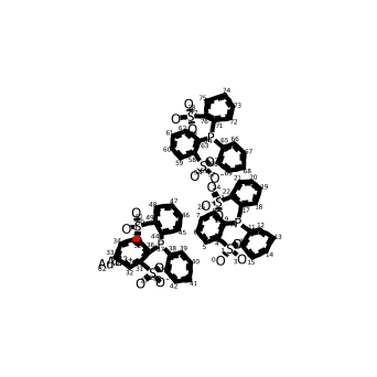 O=S(=O)([O-])c1ccccc1P(c1ccccc1)c1ccccc1S(=O)(=O)[O-].O=S(=O)([O-])c1ccccc1P(c1ccccc1)c1ccccc1S(=O)(=O)[O-].O=S(=O)([O-])c1ccccc1P(c1ccccc1)c1ccccc1S(=O)(=O)[O-].[Au+3].[Au+3]